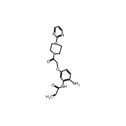 C=CC(=O)Nc1cc(OCC(=O)N2CCN(c3ncccn3)CC2)ccc1N